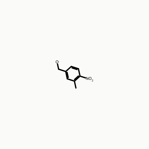 Cc1cc(C[O])ccc1[N+](=O)[O-]